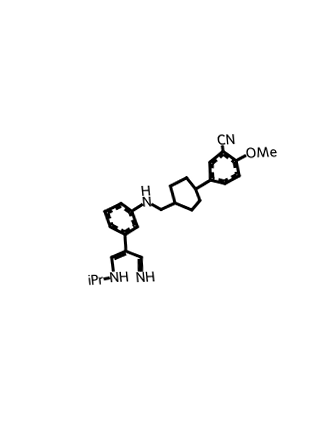 COc1ccc(C2CCC(CNc3cccc(/C(C=N)=C/NC(C)C)c3)CC2)cc1C#N